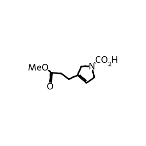 COC(=O)CCC1=CCN(C(=O)O)C1